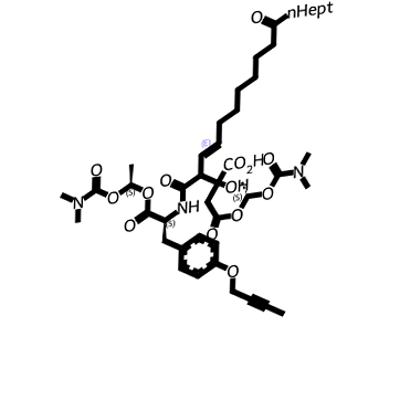 CC#CCOc1ccc(C[C@H](NC(=O)C(/C=C/CCCCCCC(=O)CCCCCCC)C(O)(CC(=O)O[C@H](C)OC(=O)N(C)C)C(=O)O)C(=O)O[C@H](C)OC(=O)N(C)C)cc1